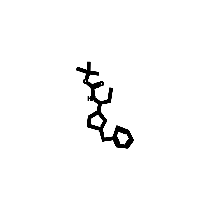 CCC(NC(=O)OC(C)(C)C)C1CCN(Cc2ccccc2)C1